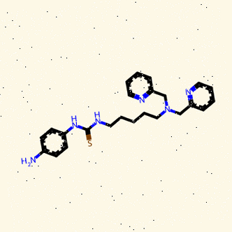 Nc1ccc(NC(=S)NCCCCCN(Cc2ccccn2)Cc2ccccn2)cc1